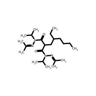 CCCCC(CC)CC(C(=O)N(N=C(C)C)C(C)C)C(=O)N(N=C(C)C)C(C)C